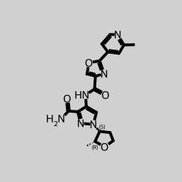 Cc1cc(-c2nc(C(=O)Nc3cn([C@H]4CCO[C@@H]4C)nc3C(N)=O)co2)ccn1